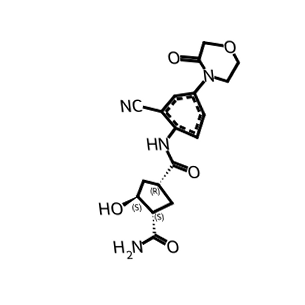 N#Cc1cc(N2CCOCC2=O)ccc1NC(=O)[C@@H]1C[C@H](C(N)=O)[C@@H](O)C1